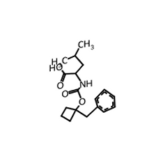 CC(C)CC(NC(=O)OC1(Cc2ccccc2)CCC1)C(=O)O